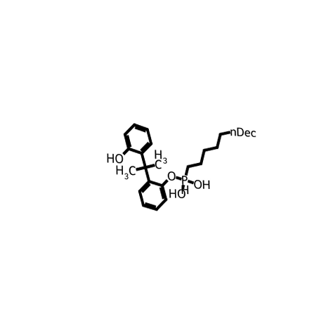 CCCCCCCCCCCCCCC[PH](O)(O)Oc1ccccc1C(C)(C)c1ccccc1O